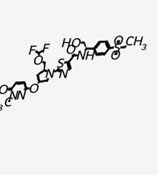 CCS(=O)(=O)c1ccc([C@H](CO)NC(=O)c2cnc(N3C[C@@H](Oc4ccc(=O)n(C)n4)C[C@H]3COC(F)F)s2)cc1